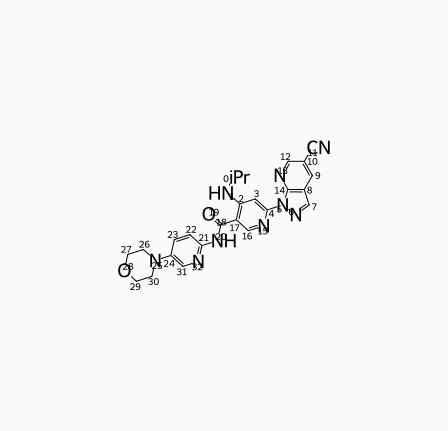 CC(C)Nc1cc(-n2ncc3cc(C#N)cnc32)ncc1C(=O)Nc1ccc(N2CCOCC2)cn1